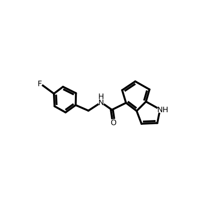 O=C(NCc1ccc(F)cc1)c1cccc2[nH]ccc12